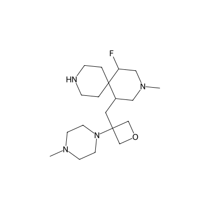 CN1CCN(C2(CC3CN(C)CC(F)C34CCNCC4)COC2)CC1